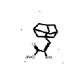 CCCC(=CC12CC3CC(CC(C3)C1)C2)C(=O)OC